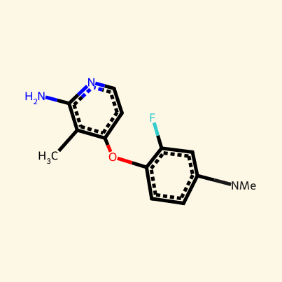 CNc1ccc(Oc2ccnc(N)c2C)c(F)c1